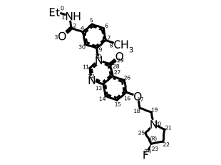 CCNC(=O)c1ccc(C)c(-n2cnc3ccc(OCCN4CC[C@@H](F)C4)cc3c2=O)c1